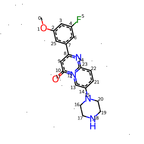 COc1cc(F)cc(-c2cc(=O)n3cc(N4CCNCC4)ccc3n2)c1